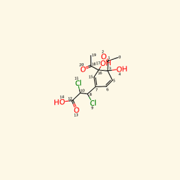 CC(=O)C1(O)C=CC(C(Cl)C(Cl)C(=O)O)=CC1(O)C(C)=O